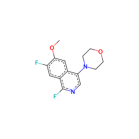 COc1cc2c(N3CCOCC3)cnc(F)c2cc1F